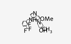 COc1cc2nccc(NCc3cccc(C(F)F)c3F)c2cc1N1CCC(C)(O)CC1